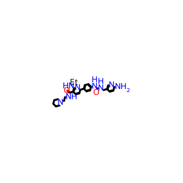 CCNc1nc(-c2ccc(NC(=O)NCc3ccc(N)nc3)cc2)ccc1C(=O)NCCN1CCCCC1